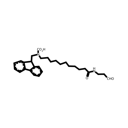 O=CCCNC(=O)CCCCCCCCCCN(CC1c2ccccc2-c2ccccc21)C(=O)O